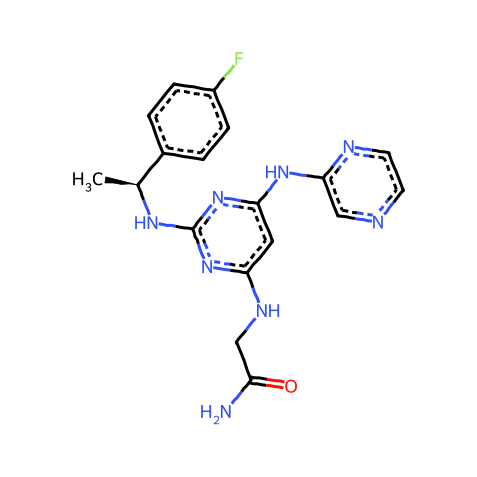 C[C@H](Nc1nc(NCC(N)=O)cc(Nc2cnccn2)n1)c1ccc(F)cc1